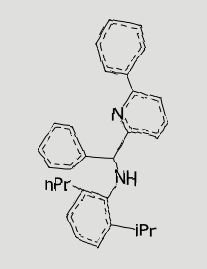 CCCc1cccc(C(C)C)c1NC(c1ccccc1)c1cccc(-c2ccccc2)n1